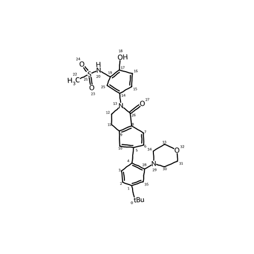 CC(C)(C)c1ccc(-c2ccc3c(c2)CCN(c2ccc(O)c(NS(C)(=O)=O)c2)C3=O)c(N2CCOCC2)c1